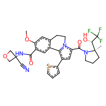 COc1cc2c(cc1C(=O)NC1(C#N)COC1)-c1c(-c3cccs3)cc(C(=O)N3CCC[C@]3(C)[C@H](O)C(F)(F)F)n1CC2